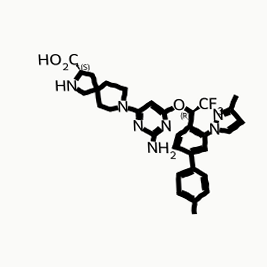 Cc1ccc(-c2ccc([C@@H](Oc3cc(N4CCC5(CC4)CN[C@H](C(=O)O)C5)nc(N)n3)C(F)(F)F)c(-n3ccc(C)n3)c2)cc1